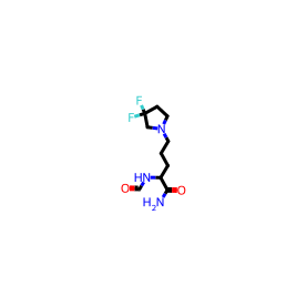 NC(=O)C(CCCN1CCC(F)(F)C1)NC=O